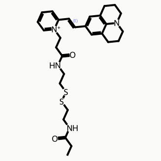 CCC(=O)NCCSSCCNC(=O)CC[n+]1ccccc1/C=C/c1cc2c3c(c1)CCCN3CCC2